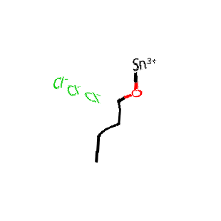 CCCC[O][Sn+3].[Cl-].[Cl-].[Cl-]